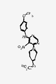 CCOC(=O)OC1CCN(c2ncnc(Nc3ccc(OC(F)(F)F)cc3)c2[N+](=O)[O-])CC1